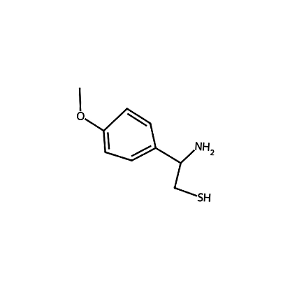 COc1ccc(C(N)CS)cc1